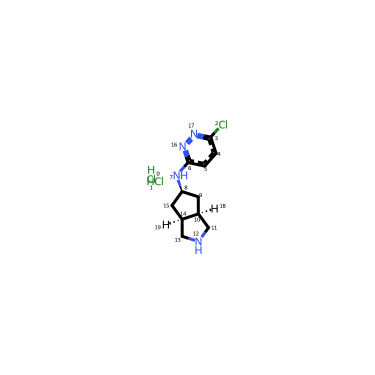 Cl.Cl.Clc1ccc(N[C@H]2C[C@H]3CNC[C@H]3C2)nn1